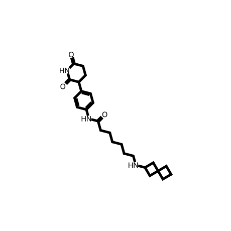 O=C1CCC(c2ccc(NC(=O)CCCCCCNC3CC4(CCC4)C3)cc2)C(=O)N1